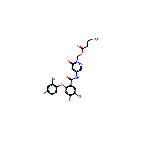 CCc1cc(F)ccc1Oc1cc(C(F)(F)F)c(Cl)cc1C(=O)Nc1cnn(COC(=O)CCC(=O)O)c(=O)c1